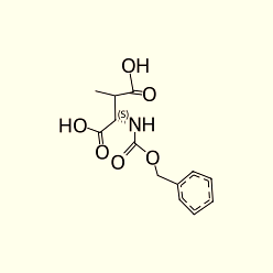 CC(C(=O)O)[C@H](NC(=O)OCc1ccccc1)C(=O)O